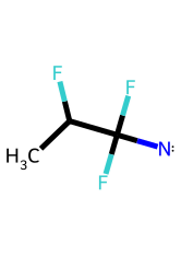 CC(F)C([N])(F)F